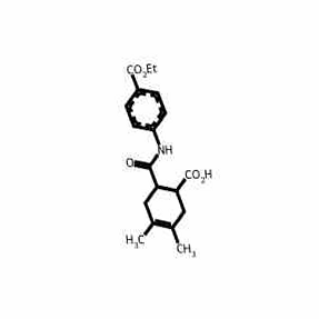 CCOC(=O)c1ccc(NC(=O)C2CC(C)=C(C)CC2C(=O)O)cc1